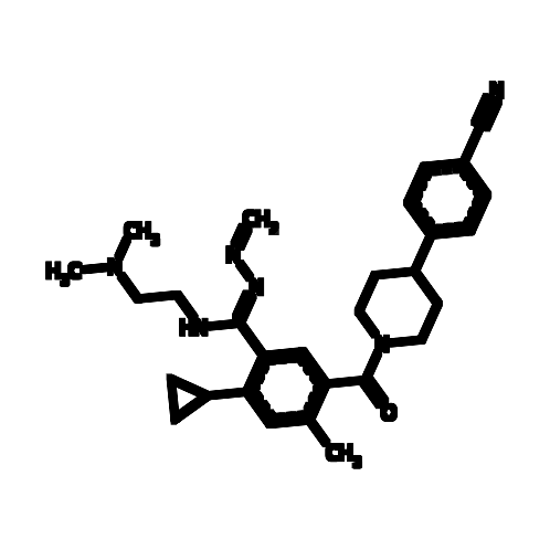 C=N/N=C(\NCCN(C)C)c1cc(C(=O)N2CCC(c3ccc(C#N)cc3)CC2)c(C)cc1C1CC1